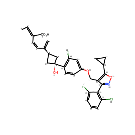 C=C(/C=C\C(=C/C)C(=O)O)[C@H]1C[C@@](O)(c2ccc(OCc3c(-c4c(Cl)cccc4Cl)noc3C3CC3)cc2Cl)C1